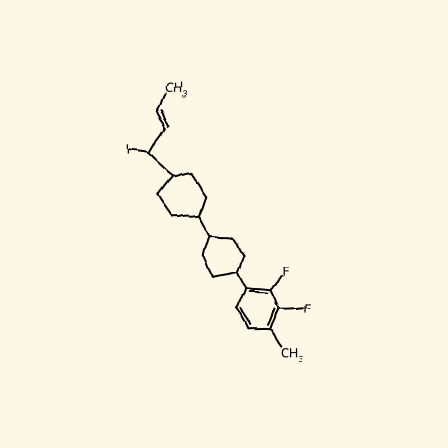 CC=CC(I)C1CCC(C2CCC(c3ccc(C)c(F)c3F)CC2)CC1